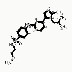 COCCNS(=O)(=O)c1ccc(Nc2nccc(-c3cnc(C)n3CC(C)C)n2)cc1